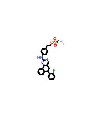 CS(=O)(=O)OCCc1ccc(Nc2ncc3c(n2)-c2ccccc2C(c2ccccc2F)C3)cc1